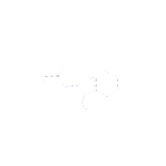 CCC(CC)C(=O)Nc1sc2c(c1C#N)CCCN2